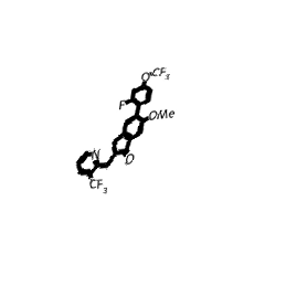 COc1cc2c(cc1-c1ccc(OC(F)(F)F)cc1F)CC(Cc1ncccc1C(F)(F)F)C2=O